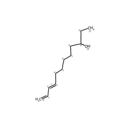 C=C/C=C/CCCCCC(O)CC